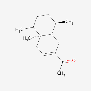 CC(=O)C1=CC[C@@]2(C)C(C)CC[C@@H](C)C2C1